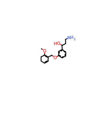 COC1=C(COc2cccc(C(O)CCN)c2)C=CCC1